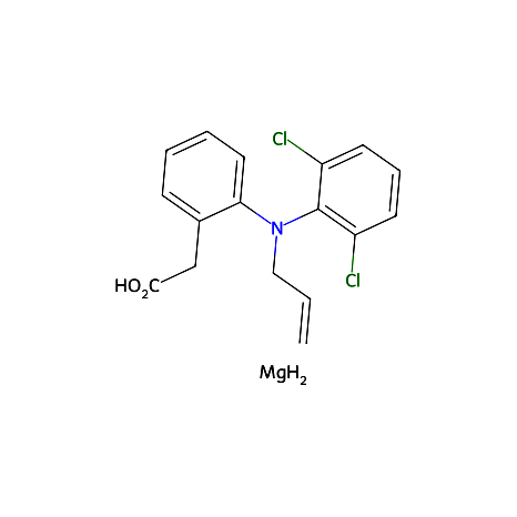 C=CCN(c1ccccc1CC(=O)O)c1c(Cl)cccc1Cl.[MgH2]